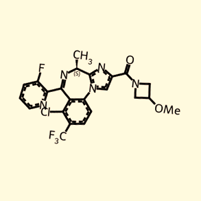 COC1CN(C(=O)c2cn3c(n2)[C@H](C)N=C(c2ncccc2F)c2c-3ccc(C(F)(F)F)c2Cl)C1